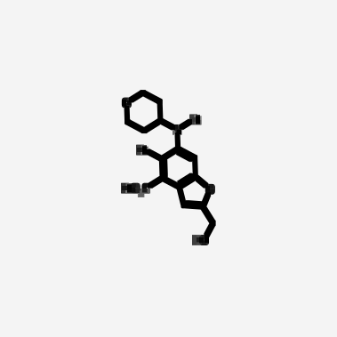 CCOC(=O)c1c(CC)c(N(CC)C2CCOCC2)cc2oc(CO)cc12